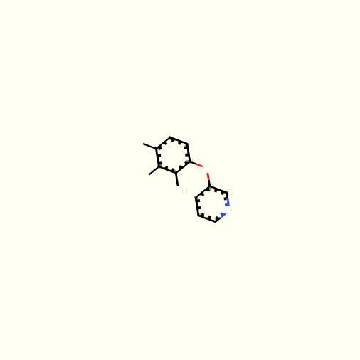 Cc1ccc(Oc2cccnc2)c(C)c1C